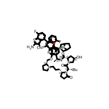 C[C@H](NC(=O)[C@@H]1C[C@@H](O)CN1C(=O)[C@@H](N1C(=O)CC[C@@H]1CCCN1CCC[C@H]1COc1nc(N2CC3CCC(C2)N3)c2cc(Cl)c(-c3ccc(F)c4sc(N)c(C#N)c34)c(F)c2n1)C(C)(C)C)c1ccc(-c2c(F)cccc2F)cc1